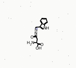 NC(CC(=O)N/N=C\c1c[nH]c2ccccc12)C(=O)O